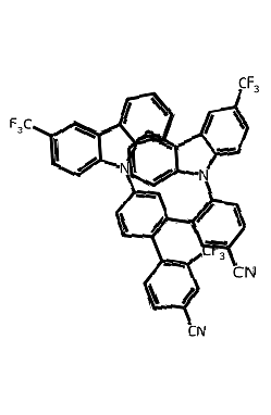 N#Cc1ccc(-n2c3ccccc3c3cc(C(F)(F)F)ccc32)c(-c2cc(-n3c4ccccc4c4cc(C(F)(F)F)ccc43)ccc2-c2ccc(C#N)cc2C(F)(F)F)c1